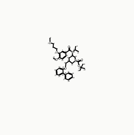 COCCCOc1cc(C(=O)N(C(C)C)C2CC(COc3ccccc3-c3ccccc3)CN(C(=O)OC(C)(C)C)C2)ccc1OC